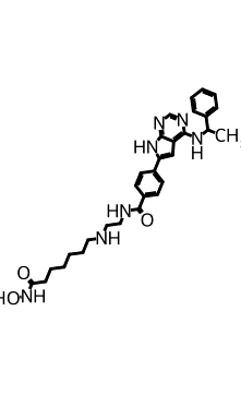 CC(Nc1ncnc2[nH]c(-c3ccc(C(=O)NCCNCCCCCCC(=O)NO)cc3)cc12)c1ccccc1